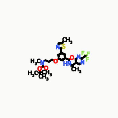 Cc1cnc(-c2cc(OCCCN(C)C(=O)OC(C)(C)C)cc(C(=O)N[C@H](C)c3cnc(C(F)(F)F)nc3)c2)s1